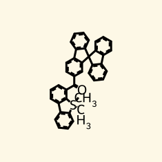 CS1(C)c2ccccc2-c2cccc(C(=O)c3ccc4c(c3)C3(c5ccccc5-c5ccccc53)c3ccccc3-4)c21